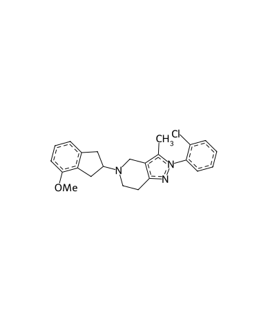 COc1cccc2c1CC(N1CCc3nn(-c4ccccc4Cl)c(C)c3C1)C2